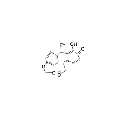 O=c1ccn(CCO)c(C(O)c2ccc3c(c2)OCO3)c1O